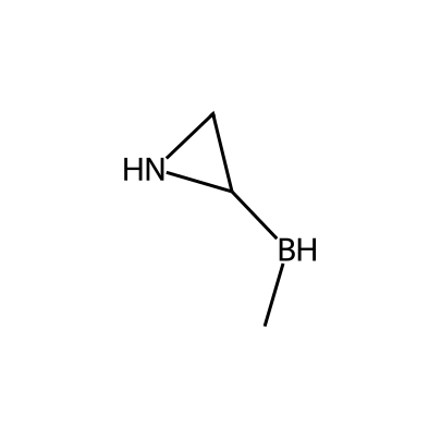 CBC1CN1